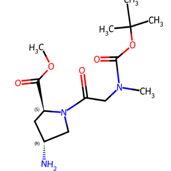 COC(=O)[C@@H]1C[C@@H](N)CN1C(=O)CN(C)C(=O)OC(C)(C)C